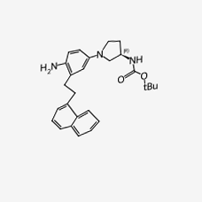 CC(C)(C)OC(=O)N[C@@H]1CCN(c2ccc(N)c(CCc3cccc4ccccc34)c2)C1